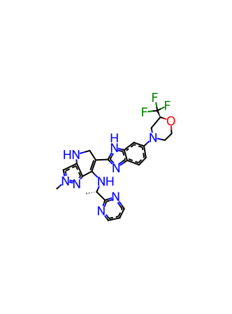 C[C@H](NC1=C(c2nc3ccc(N4CCO[C@H](C(F)(F)F)C4)cc3[nH]2)CNc2cn(C)nc21)c1ncccn1